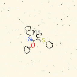 CC(=C\Sc1ccccc1)/C(=N\c1ccc2c(c1)CCC2)Oc1ccccc1